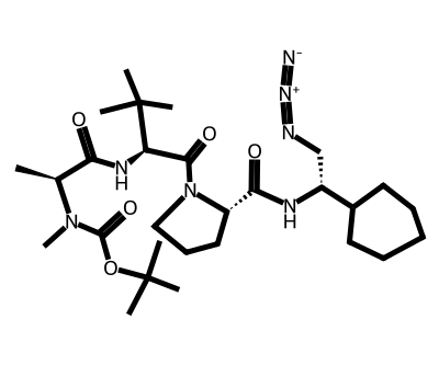 C[C@@H](C(=O)N[C@H](C(=O)N1CCC[C@H]1C(=O)N[C@H](CN=[N+]=[N-])C1CCCCC1)C(C)(C)C)N(C)C(=O)OC(C)(C)C